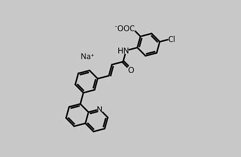 O=C(/C=C/c1cccc(-c2cccc3cccnc23)c1)Nc1ccc(Cl)cc1C(=O)[O-].[Na+]